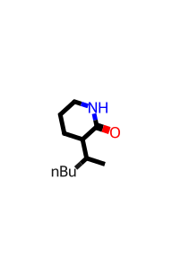 CCCCC(C)C1CCCNC1=O